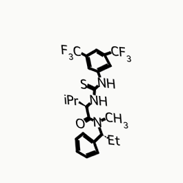 CC[C@H](c1ccccc1)N(C)C(=O)[C@H](NC(=S)Nc1cc(C(F)(F)F)cc(C(F)(F)F)c1)C(C)C